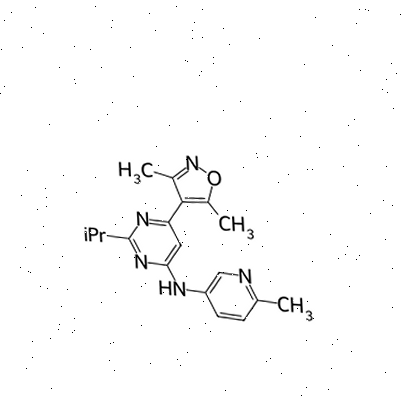 Cc1ccc(Nc2cc(-c3c(C)noc3C)nc(C(C)C)n2)cn1